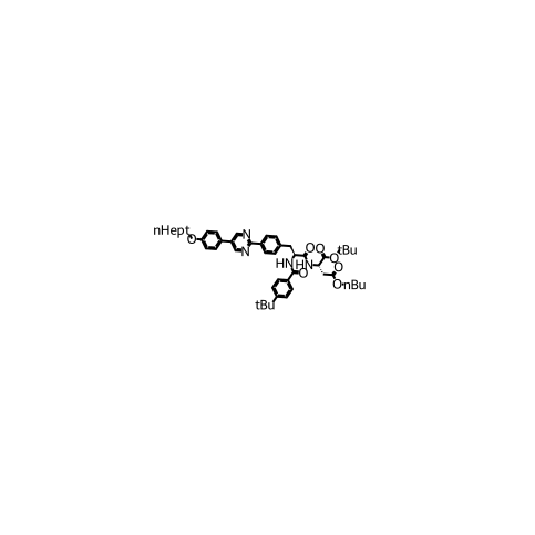 CCCCCCCOc1ccc(-c2cnc(-c3ccc(C[C@H](NC(=O)c4ccc(C(C)(C)C)cc4)C(=O)N[C@@H](CC(=O)OCCCC)C(=O)OC(C)(C)C)cc3)nc2)cc1